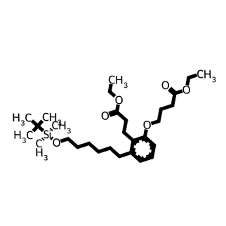 CCOC(=O)CCCOc1cccc(CCCCCCO[Si](C)(C)C(C)(C)C)c1CCC(=O)OCC